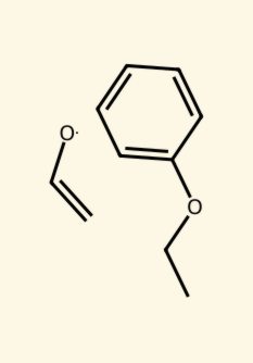 C=C[O].CCOc1ccccc1